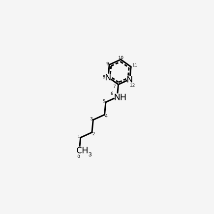 CCCCCCNc1ncccn1